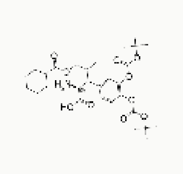 CC(COC(=O)C1CCCCC1)C(c1ccc(OC(=O)OC(C)(C)C)c(OC(=O)OC(C)(C)C)c1)[C@H](N)C(=O)O